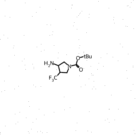 CC(C)(C)OC(=O)N1CC(N)C(C(F)(F)F)C1